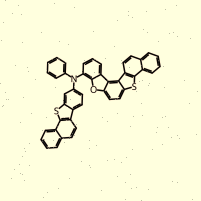 c1ccc(N(c2ccc3c(c2)sc2c4ccccc4ccc32)c2cccc3c2oc2ccc4sc5c6ccccc6ccc5c4c23)cc1